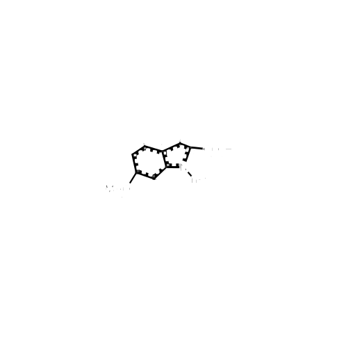 CCCn1c(C(=O)O)cc2ccc(OC)cc21